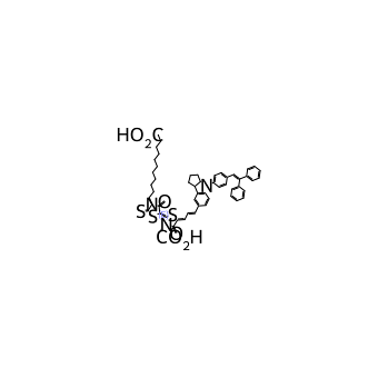 O=C(O)CCCCCCCCCCN1C(=O)/C(=c2\sc(=CC=Cc3ccc4c(c3)C3CCCC3N4c3ccc(C=C(c4ccccc4)c4ccccc4)cc3)c(=O)n2CC(=O)O)SC1=S